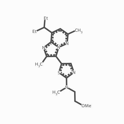 CCC(CC)c1cc(C)nn2c(-c3cnc(N(C)CCOC)s3)c(C)nc12